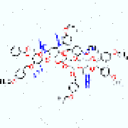 COc1ccc(COC[C@H]2O[C@@H](OC3C(OCc4ccc(OC)cc4)C(N=[N+]=[N-])CC(N=[N+]=[N-])C3OC3OC4COC(c5ccccc5)OC4C(OCc4ccc(OC)cc4)C3N=[N+]=[N-])C(OCc3ccc(OC)cc3)C2O[C@H]2OC(CN=[N+]=[N-])C(OCc3ccc(OC)cc3)C(OCc3ccc(OC)cc3)C2N=[N+]=[N-])cc1